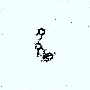 N#Cc1cnc(NCc2ccccc2Cl)nc1NCC12CC3C[C@H](C1)C(N)[C@@H](C3)C2